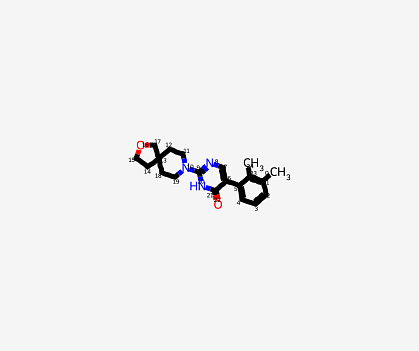 Cc1cccc(-c2cnc(N3CCC4(CCOC4)CC3)[nH]c2=O)c1C